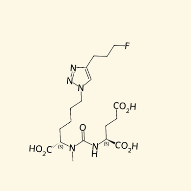 CN(C(=O)N[C@@H](CCC(=O)O)C(=O)O)[C@@H](CCCCn1cc(CCCF)nn1)C(=O)O